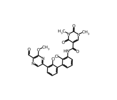 COc1nc(-c2cccc(-c3cccc(NC(=O)c4cn(C)c(=O)n(C)c4=O)c3Cl)c2Cl)cnc1C=O